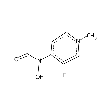 C[n+]1ccc(N(O)C=O)cc1.[I-]